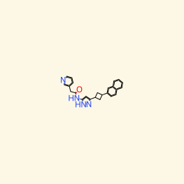 O=C(Cc1cccnc1)Nc1cc(C2CC(c3ccc4ccccc4c3)C2)n[nH]1